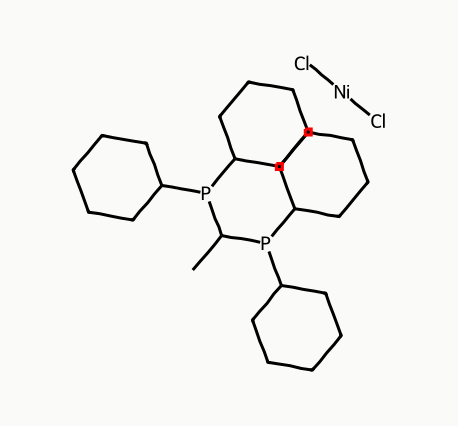 CC(P(C1CCCCC1)C1CCCCC1)P(C1CCCCC1)C1CCCCC1.[Cl][Ni][Cl]